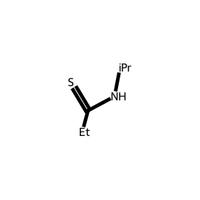 [CH2]CC(=S)NC(C)C